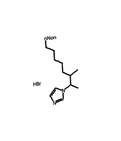 Br.CCCCCCCCCCCCCCC(C)C(C)n1ccnc1